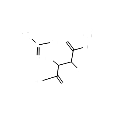 O=C(O)C(O)C(O)C(=O)O.O=[Si](O)O.[KH].[NaH].[NaH]